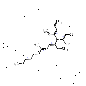 C=C/C=C/CC/C(C)=C/C=C(\C=C)N(/C(C=C)=C/C=C)/C(=C/CC)CCC